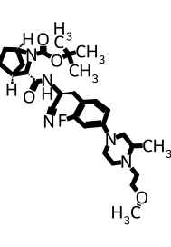 COCCN1CCN(c2ccc(C[C@@H](C#N)NC(=O)[C@@H]3[C@H]4CC[C@H](C4)N3C(=O)OC(C)(C)C)c(F)c2)CC1C